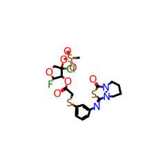 CS(=O)(=O)OC1(Cl)COC(F)C1OC(=O)CSc1cccc(N=c2sc(=O)n3n2CCCC3)c1